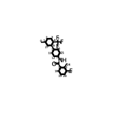 Cc1ccc(C(F)(F)F)c(-c2ccc(NC(=O)c3cccc(F)c3C)cc2)c1